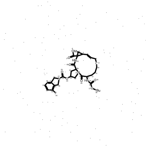 COC(=O)C12CC1/C=C/CCCCCC(NC(=O)OC(C)(C)C)C(=O)N1CC(OC(=O)N3Cc4cccc(F)c4C3)CC1C(=O)N2